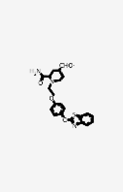 NC(=O)C1CC([C]=O)CCN1CCOc1ccc(Oc2nc3ccccc3s2)cc1